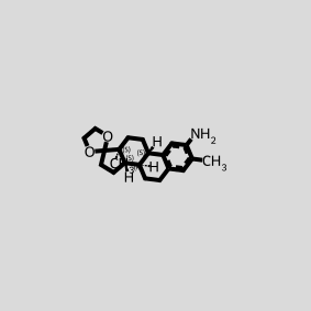 Cc1cc2c(cc1N)[C@H]1CC[C@@]3(C)[C@@H](CCC34OCCO4)[C@@H]1CC2